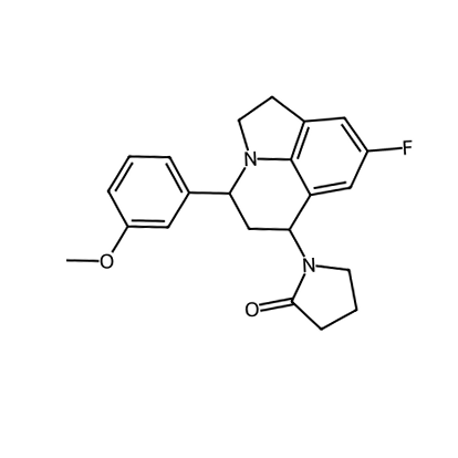 COc1cccc(C2CC(N3CCCC3=O)c3cc(F)cc4c3N2CC4)c1